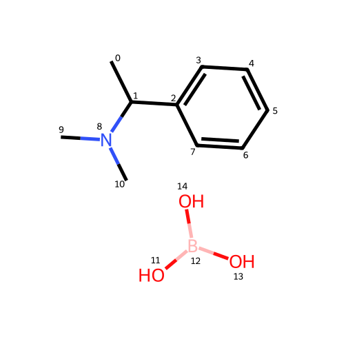 CC(c1ccccc1)N(C)C.OB(O)O